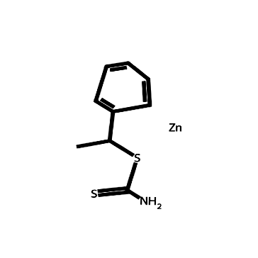 CC(SC(N)=S)c1ccccc1.[Zn]